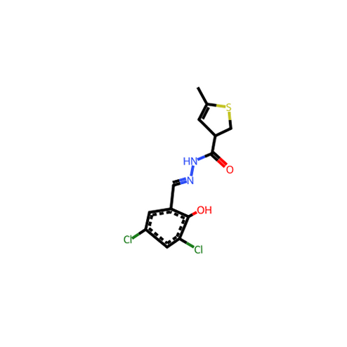 CC1=CC(C(=O)N/N=C/c2cc(Cl)cc(Cl)c2O)CS1